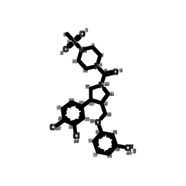 CS(=O)(=O)N1CCN(C(=O)N2CC(COc3cccc(C(F)(F)F)c3)C(c3ccc(Cl)c(Cl)c3)C2)CC1